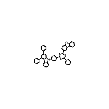 c1ccc(-c2cc(-c3ccccc3)c3c4ccccc4n(-c4ccc(-c5nc(-c6ccccc6)nc(-c6ccc7oc8ccccc8c7c6)n5)cc4)c3c2)cc1